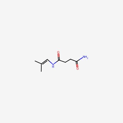 CC(C)=CNC(=O)CCC(N)=O